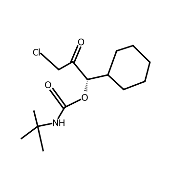 CC(C)(C)NC(=O)O[C@H](C(=O)CCl)C1CCCCC1